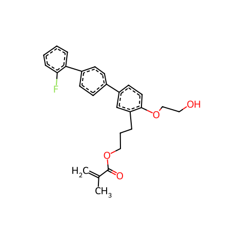 C=C(C)C(=O)OCCCc1cc(-c2ccc(-c3ccccc3F)cc2)ccc1OCCO